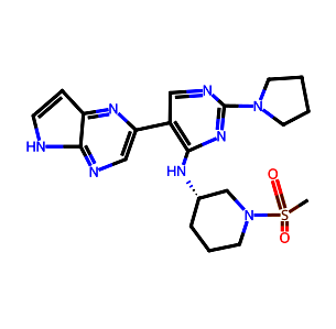 CS(=O)(=O)N1CCC[C@H](Nc2nc(N3CCCC3)ncc2-c2cnc3[nH]ccc3n2)C1